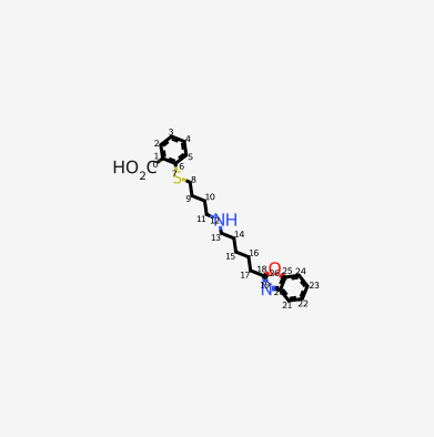 O=C(O)c1ccccc1SCCCCNCCCCCc1nc2ccccc2o1